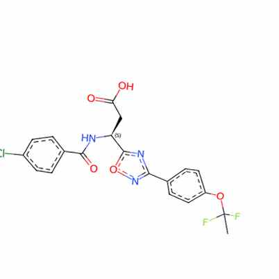 CC(F)(F)Oc1ccc(-c2noc([C@H](CC(=O)O)NC(=O)c3ccc(Cl)cc3)n2)cc1